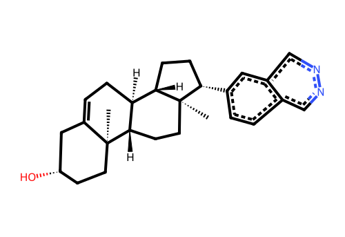 C[C@]12CC[C@H]3[C@@H](CC=C4C[C@@H](O)CC[C@@]43C)[C@@H]1CC[C@@H]2c1ccc2cnncc2c1